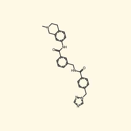 CN1CCc2ccc(NC(=O)c3cccc(CNC(=O)c4ccc(Cn5cncn5)cc4)c3)cc2C1